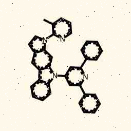 Cc1cccnc1-n1ccc2cc3c4ccccc4n(-c4cc(-c5ccccc5)nc(-c5ccccc5)c4)c3cc21